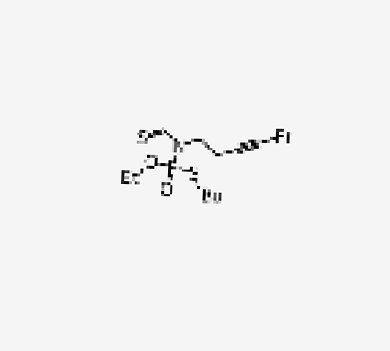 CCC#CCCN(C=S)P(=O)(OCC)SC(C)CC